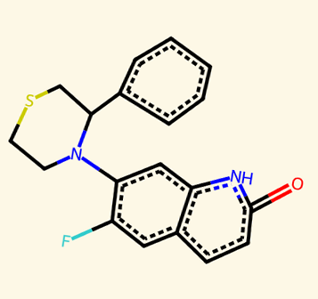 O=c1ccc2cc(F)c(N3CCSCC3c3ccccc3)cc2[nH]1